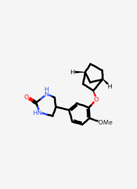 COc1ccc(C2CNC(=O)NC2)cc1O[C@H]1C[C@@H]2CC[C@H]1C2